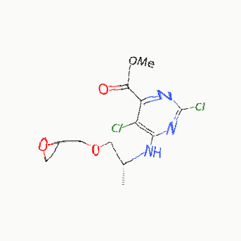 COC(=O)c1nc(Cl)nc(N[C@H](C)COCC2CO2)c1Cl